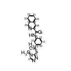 C[C@@H](Sc1nncn1C)c1cccc(NC(=O)c2cc3ccccc3cn2)c1